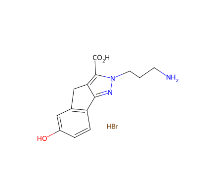 Br.NCCCn1nc2c(c1C(=O)O)Cc1cc(O)ccc1-2